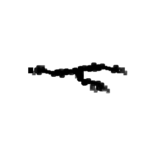 C=CC(=O)OCCCCCCOc1ccc(OC(=O)C2CCC(COc3ccc4c5ccc(OCC6CCC(C(=O)Oc7ccc(OCCCCCCOC8OC8(C)C)cc7)CC6)cc5c5nc6ccc(-c7cccc(OCCOCCOC8OC8(C)C)c7)cc6nc5c4c3)CC2)cc1